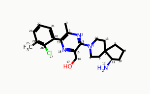 Cc1nc(N2CCC3(CCC[C@H]3N)CC2)c(CO)nc1-c1cccc(C(F)(F)F)c1Cl